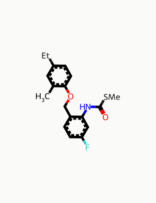 CCc1ccc(OCc2ccc(F)cc2NC(=O)SC)c(C)c1